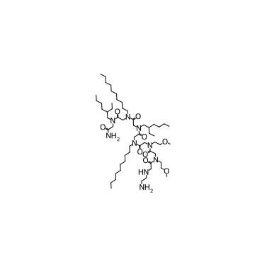 CCCCCCCCCCN(CC(=O)N(CC(=O)N(CCCCCCCCCC)CC(=O)N(CC(N)=O)CC(CC)CCCC)CC(CC)CCCC)C(=O)CN(CCOC)C(=O)CN(CCOC)C(=O)CNCCN